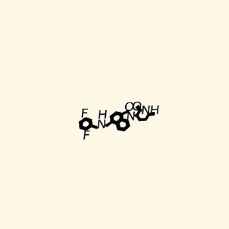 C=C1CCC(N2C(=O)c3ccc(CNCc4cc(F)ccc4F)c4cccc2c34)C(=O)N1